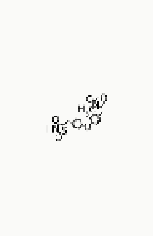 CN1C(=O)COCC1Cc1ccc(Oc2ccc(/C=C3\SC(=O)NC3=O)cc2)cc1